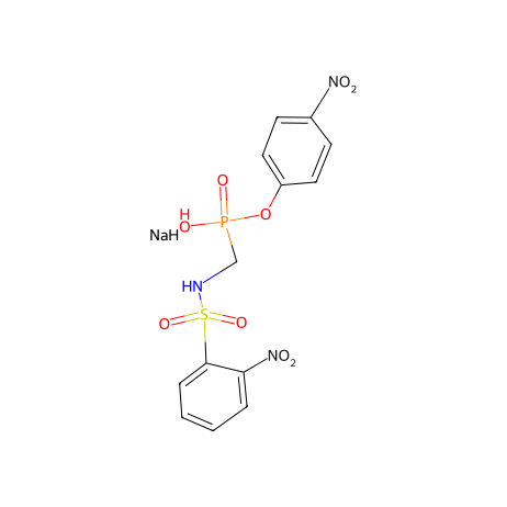 O=[N+]([O-])c1ccc(OP(=O)(O)CNS(=O)(=O)c2ccccc2[N+](=O)[O-])cc1.[NaH]